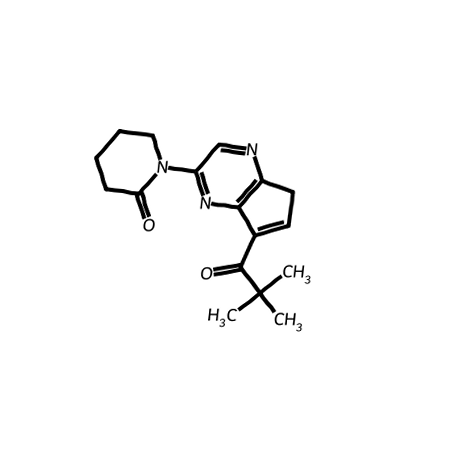 CC(C)(C)C(=O)C1=CCc2ncc(N3CCCCC3=O)nc21